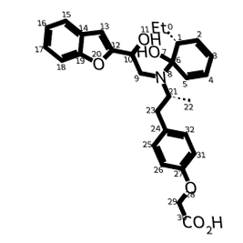 CC[C@@H]1C=CC=CC1(O)N(CC(O)c1cc2ccccc2o1)[C@H](C)Cc1ccc(OCC(=O)O)cc1